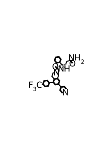 NC(=O)CC[C@H](NC(=O)N1CCc2c(cc(-c3ccncc3)cc2-c2ccc(C(F)(F)F)cc2)C1)c1ccccc1